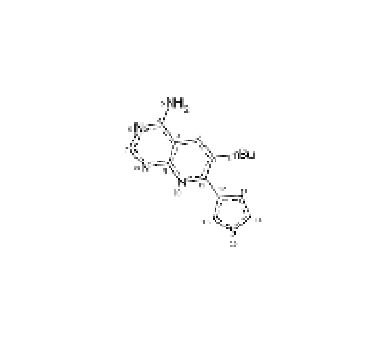 CCCCc1cc2c(N)ncnc2nc1-c1ccsc1